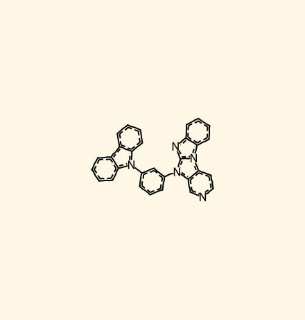 c1cc(-n2c3ccccc3c3ccccc32)cc(-n2c3cnccc3n3c4ccccc4nc23)c1